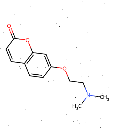 CN(C)CCOc1ccc2ccc(=O)oc2c1